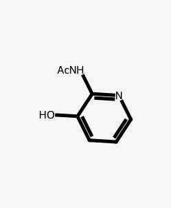 [CH2]C(=O)Nc1ncccc1O